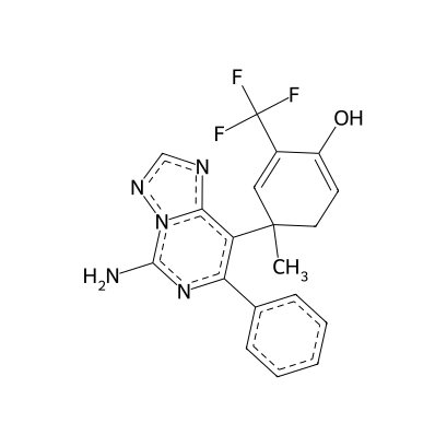 CC1(c2c(-c3ccccc3)nc(N)n3ncnc23)C=C(C(F)(F)F)C(O)=CC1